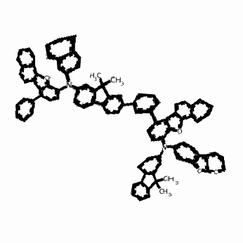 CC1(C)c2ccccc2-c2ccc(N(c3ccc4c(c3)oc3ccccc34)c3ccc(-c4cccc(-c5ccc6c(c5)C(C)(C)c5cc(N(c7ccc8ccccc8c7)c7ccc(-c8ccccc8)c8c7oc7c9ccccc9ccc78)ccc5-6)c4)c4c3oc3c5ccccc5ccc34)cc21